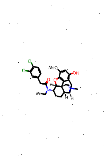 COc1cc(O)c2c3c1O[C@H]1[C@H](N(CC(C)C)C(=O)Cc4ccc(Cl)c(Cl)c4)CC[C@H]4[C@@H](C2)N(C)CC[C@@]341